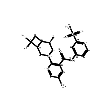 C[C@H]1CN(c2ncc(C(F)(F)F)cc2C(=O)Nc2ccnc(S(N)(=O)=O)c2)CC2C1CC2(F)F